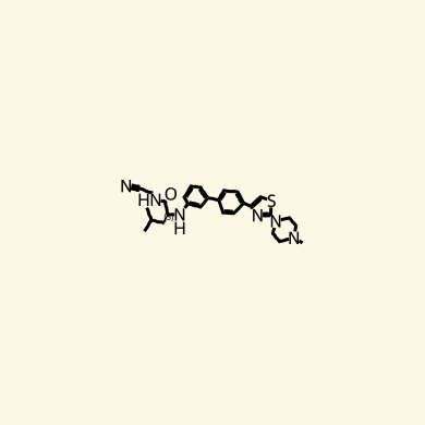 CC(C)C[C@H](Nc1cccc(-c2ccc(-c3csc(N4CCN(C)CC4)n3)cc2)c1)C(=O)NCC#N